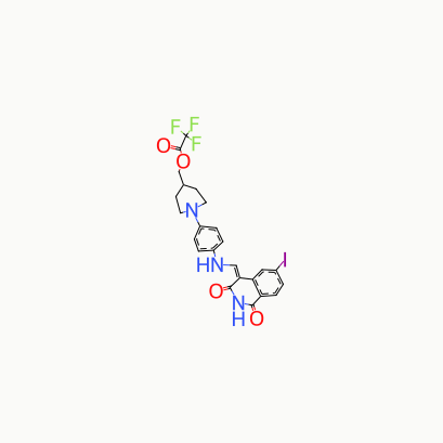 O=C1NC(=O)c2ccc(I)cc2C1=CNc1ccc(N2CCC(COC(=O)C(F)(F)F)CC2)cc1